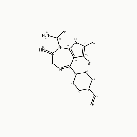 C=CC1CCC(C2=NCC(=N)N(C(C)N)c3sc(C)c(C)c32)CC1